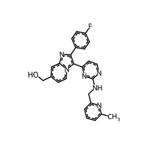 Cc1cccc(CNc2nccc(-c3c(-c4ccc(F)cc4)nc4cc(CO)ccn34)n2)n1